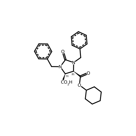 O=C(O)[C@@H]1[C@H](C(=O)OC2CCCCC2)N(Cc2ccccc2)C(=O)N1Cc1ccccc1